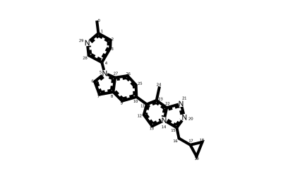 Cc1ccc(-n2ccc3cc(-c4ccn5c(CC6CC6)nnc5c4C)ccc32)cn1